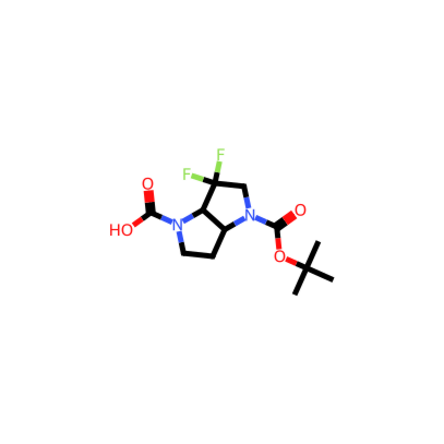 CC(C)(C)OC(=O)N1CC(F)(F)C2C1CCN2C(=O)O